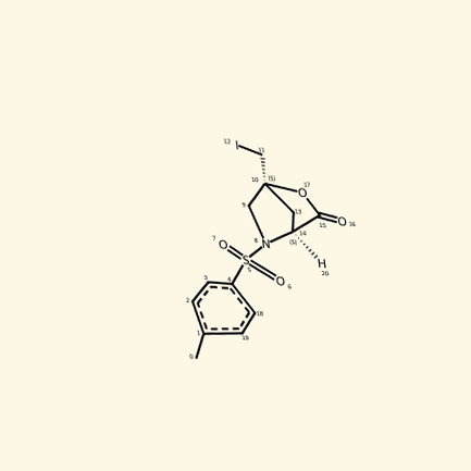 Cc1ccc(S(=O)(=O)N2C[C@]3(CI)C[C@H]2C(=O)O3)cc1